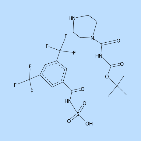 CC(C)(C)OC(=O)NC(=O)N1CCNCC1.O=C(NS(=O)(=O)O)c1cc(C(F)(F)F)cc(C(F)(F)F)c1